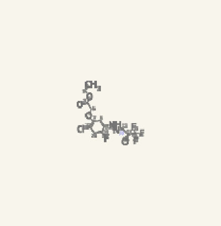 CCOC(=O)COc1cc(N/N=C/C(=O)C(F)(F)F)c(F)cc1Cl